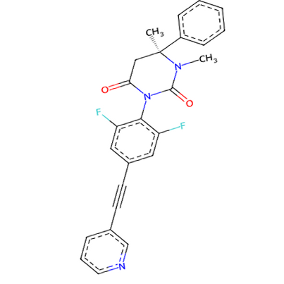 CN1C(=O)N(c2c(F)cc(C#Cc3cccnc3)cc2F)C(=O)C[C@@]1(C)c1ccccc1